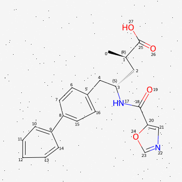 C[C@H](C[C@@H](Cc1ccc(-c2ccccc2)cc1)NC(=O)c1cnco1)C(=O)O